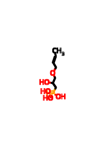 CC=CCOCC(O)C[PH](O)(O)O